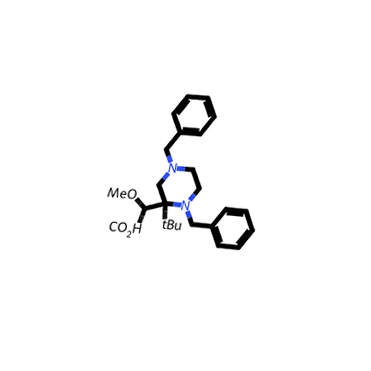 COC(C(=O)O)C1(C(C)(C)C)CN(Cc2ccccc2)CCN1Cc1ccccc1